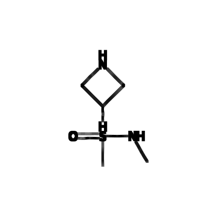 CN[SH](C)(=O)C1CNC1